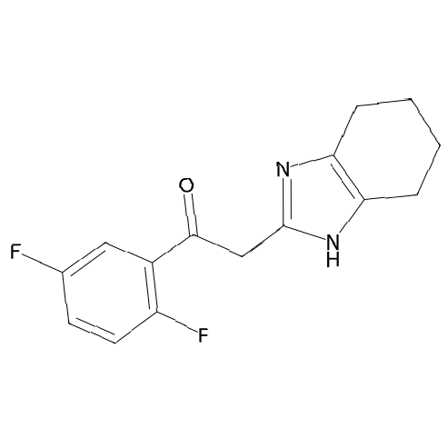 O=C(Cc1nc2c([nH]1)CCCC2)c1cc(F)ccc1F